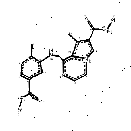 CCNC(=O)c1ccc(C)c(Nc2nccn3cc(C(=O)NCC)c(C)c23)c1